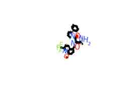 COc1ccc(-c2nc(C(=O)N3CCC[C@@H]3c3ccccc3)c([C@H](C)N)o2)c2ccc(C(F)(F)F)nc12